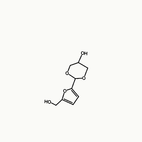 OCc1ccc(C2OCC(O)CO2)o1